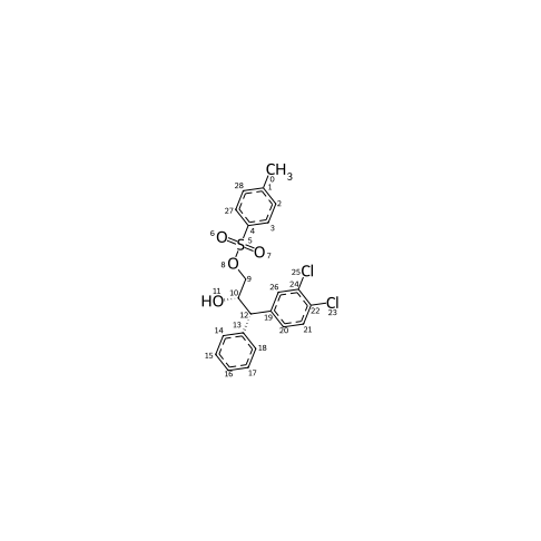 Cc1ccc(S(=O)(=O)OC[C@@H](O)[C@@H](c2ccccc2)c2ccc(Cl)c(Cl)c2)cc1